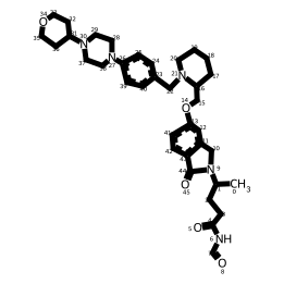 CC(CCC(=O)NC=O)N1Cc2cc(OCC3CCCCN3Cc3ccc(N4CCN(C5CCOCC5)CC4)cc3)ccc2C1=O